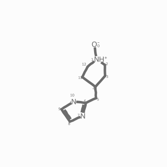 [O-][NH+]1CCC(CC2=NC=C[N]2)CC1